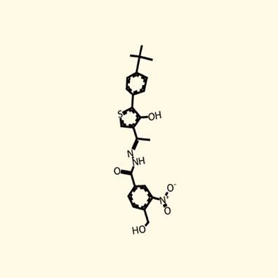 C/C(=N\NC(=O)c1ccc(CO)c([N+](=O)[O-])c1)c1csc(-c2ccc(C(C)(C)C)cc2)c1O